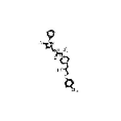 CC(C)c1cc(CNC(=O)[C@@H](N2CCN(CC(O)COc3ccc(C(F)(F)F)cc3)CC2)C(F)(F)F)nn1-c1ccccc1